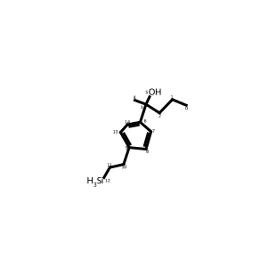 CCCC(C)(O)c1ccc(CC[SiH3])cc1